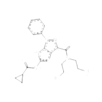 O=C(Nc1nc2c(s1)c(C(=O)N(CCO)CCO)nn2-c1ccccc1)C1CC1